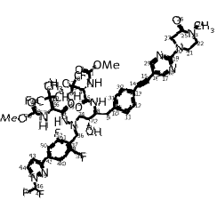 COC(=O)N[C@H](C(=O)N[C@@H](Cc1ccc(C#Cc2cnc(N3CCN(C)C(=O)C3)nc2)cc1)[C@@H](O)CN(Cc1c(F)cc(-c2ccn(C(F)F)n2)cc1F)NC(=O)[C@@H](NC(=O)OC)C(C)(C)C(F)(F)F)C(C)(C)C(F)(F)F